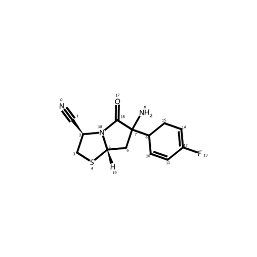 N#C[C@@H]1CS[C@H]2CC(N)(C3C=CC(F)=CC3)C(=O)N12